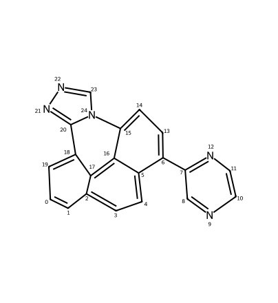 c1cc2ccc3c(-c4cnccn4)ccc4c3c2c(c1)c1nncn41